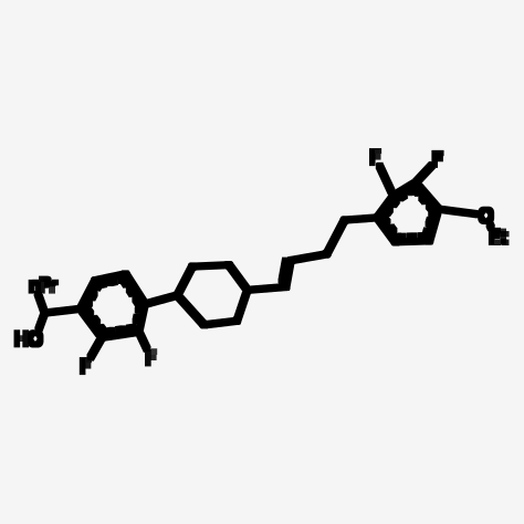 CCCC(O)c1ccc(C2CCC(/C=C/CCc3ccc(OCC)c(F)c3F)CC2)c(F)c1F